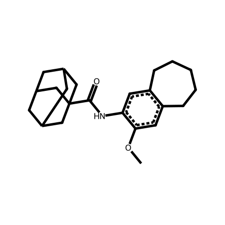 COc1cc2c(cc1NC(=O)C13CC4CC(CC(C4)C1)C3)CCCCC2